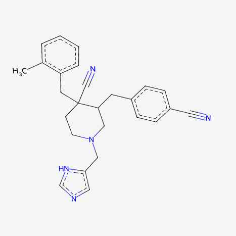 Cc1ccccc1CC1(C#N)CCN(Cc2cnc[nH]2)CC1Cc1ccc(C#N)cc1